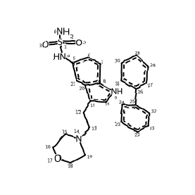 NS(=O)(=O)Nc1ccc2[nH]cc(CCN3CCOCC3)c2c1.c1ccc(-c2ccccc2)cc1